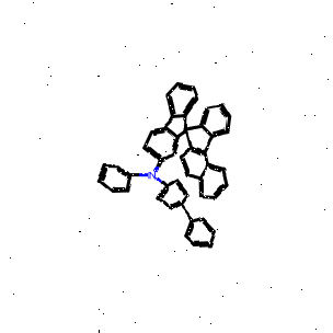 c1ccc(-c2ccc(N(c3ccccc3)c3ccc4c(c3)C3(c5ccccc5-4)c4ccccc4-c4c3ccc3ccccc43)cc2)cc1